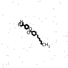 C=CCCCCC[C@H]1CC[C@H](C(=O)Oc2ccc(-c3cncnc3)cc2)CC1